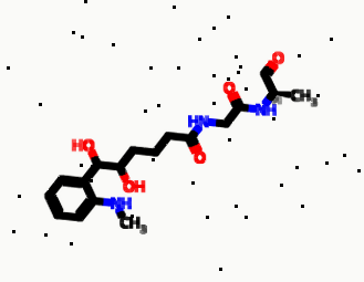 CNc1ccccc1C(O)C(O)CCCC(=O)NCC(=O)N[C@H](C)C=O